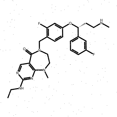 CCNc1ncc2c(n1)N(C)CCN(Cc1ccc(O[C@H](CCNC)c3cccc(F)c3)cc1F)C2=O